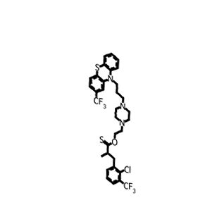 CC(Cc1cccc(C(F)(F)F)c1Cl)C(=S)OCCN1CCN(CCCN2c3ccccc3Sc3ccc(C(F)(F)F)cc32)CC1